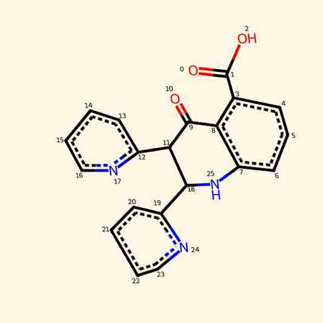 O=C(O)c1cccc2c1C(=O)C(c1ccccn1)C(c1ccccn1)N2